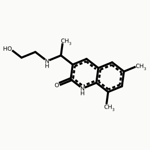 Cc1cc(C)c2[nH]c(=O)c(C(C)NCCO)cc2c1